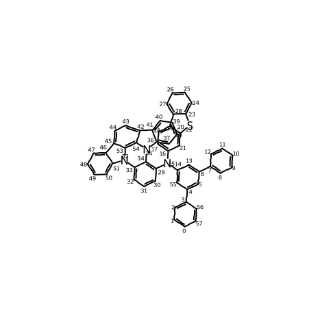 c1ccc(-c2cc(-c3ccccc3)cc(N(c3ccc4c(c3)sc3ccccc34)c3cccc4c3n3c5ccccc5c5ccc6c7ccccc7n4c6c53)c2)cc1